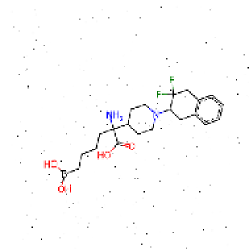 NC(CCCCB(O)O)(C(=O)O)C1CCN(C2Cc3ccccc3CC2(F)F)CC1